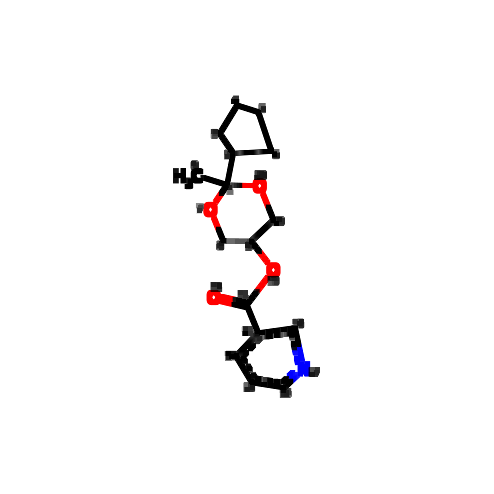 CC1(C2CCCC2)OCC(OC(=O)c2cccnc2)CO1